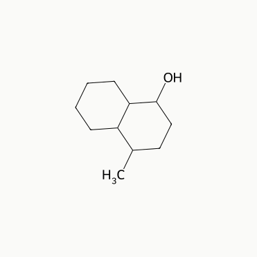 CC1CCC(O)C2CCCCC12